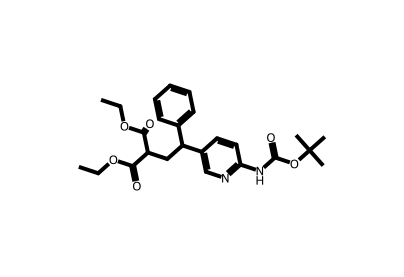 CCOC(=O)C(CC(c1ccccc1)c1ccc(NC(=O)OC(C)(C)C)nc1)C(=O)OCC